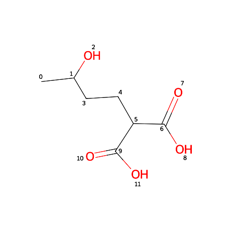 CC(O)CCC(C(=O)O)C(=O)O